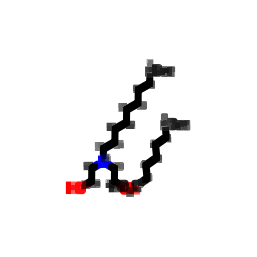 CCCCCCCCCCCCCCCC(=O)O.CCCCCCCCCCCCCCCCCCN(CCO)CCO